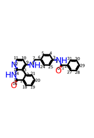 O=C(Nc1ccc(CNc2ccnc3[nH]c(=O)c4ccccc4c23)cc1)c1ccccc1